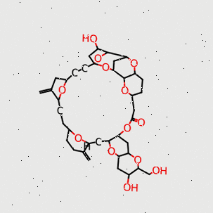 C=C1CC2CCC34CC(O)C(O3)C3CC(O4)C4OC(CCC4O3)CC(=O)OC3CC4OC(CO)C(O)CC4OC3C[C@H]3OC(CCC3=C)CCC1O2